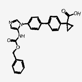 O=C(Nc1cncn1-c1ccc(-c2ccc(C3(C(=O)O)CC3)cc2)cc1)OCc1ccccc1